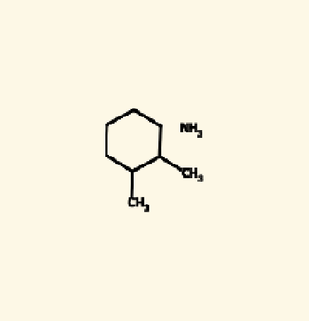 CC1CCCCC1C.N